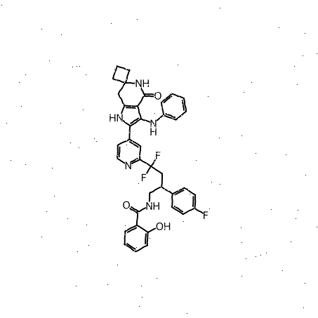 O=C(NCC(CC(F)(F)c1cc(-c2[nH]c3c(c2Nc2ccccc2)C(=O)NC2(CCC2)C3)ccn1)c1ccc(F)cc1)c1ccccc1O